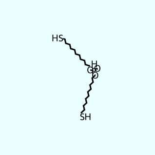 O=[PH](OCCCCCCCCCCCS)OCCCCCCCCCCCS